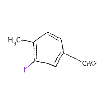 Cc1ccc([C]=O)cc1I